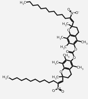 CCCCCCCCCCC/C(=C\C1(C)CCc2c(C)c(OC(=O)Oc3c(C)c(C)c4c(c3C)CCC(C)(/C=C(\CCCCCCCCCCC)[N+](=O)[O-])O4)c(C)c(C)c2O1)[N+](=O)[O-]